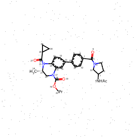 CC(=O)NC1CCN(C(=O)c2ccc(-c3ccc4c(c3)N(C(=O)OC(C)C)C[C@H](C)N4C(=O)C3CC3)cc2)C1